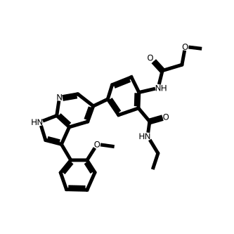 CCNC(=O)c1cc(-c2cnc3[nH]cc(-c4ccccc4OC)c3c2)ccc1NC(=O)COC